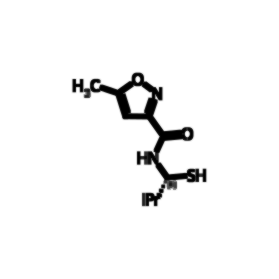 Cc1cc(C(=O)N[C@H](S)C(C)C)no1